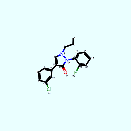 CCCn1cc(-c2cccc(Cl)c2)c(=O)n1-c1ccccc1F